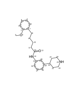 COc1ccccc1CCCCC(=O)Nc1cccc(C2CCNCC2)c1